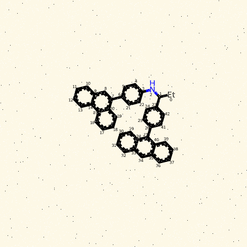 CCC(Nc1ccc(-c2cc3ccccc3c3ccccc23)cc1)c1ccc(-c2c3ccccc3cc3ccccc23)cc1